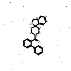 O=C(c1ccccc1-c1ccccc1)N1CCC2(CC1)OCc1ccccc12